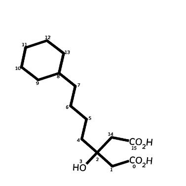 O=C(O)CC(O)(CCCCC1CCCCC1)CC(=O)O